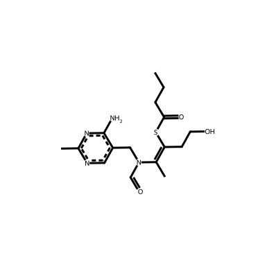 CCCC(=O)SC(CCO)=C(C)N(C=O)Cc1cnc(C)nc1N